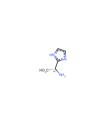 N[C@H](C(=O)O)c1ncc[nH]1